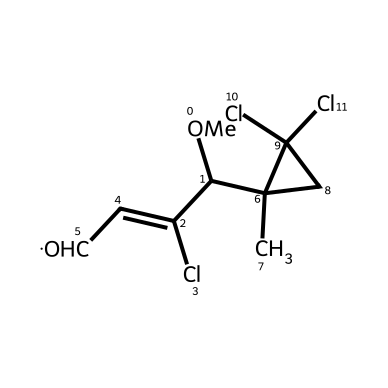 COC(/C(Cl)=C/[C]=O)C1(C)CC1(Cl)Cl